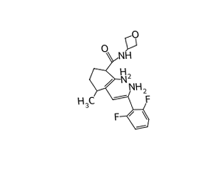 CC1CCC(C(=O)NC2COC2)C(N)=C1/C=C(\N)c1c(F)cccc1F